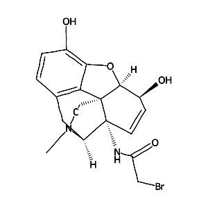 CN1CC[C@]23c4c5ccc(O)c4O[C@H]2[C@@H](O)C=C[C@@]3(NC(=O)CBr)[C@H]1C5